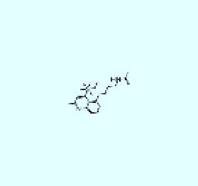 C=C(C)NCCCCc1cccc2nc(C)cc(S(C)(C)(C)(C)CC)c12